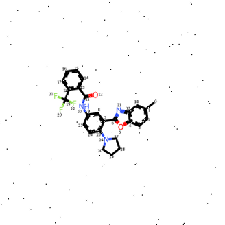 Cc1ccc2oc(-c3cc(NC(=O)c4ccccc4C(F)(F)F)ccc3N3CCCC3)nc2c1